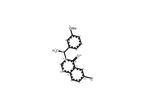 COc1cccc([C@H](C)n2cnc3ccc(Br)cc3c2=O)c1